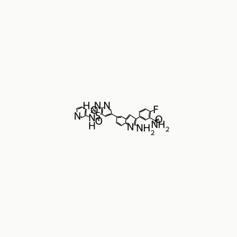 NC(=O)c1cc(-c2cc3cc(-c4cnc(N)c(S(=O)(=O)Nc5cccnc5)c4)ccc3nc2N)ccc1F